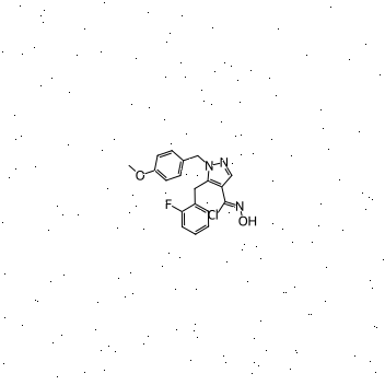 COc1ccc(Cn2ncc(C(Cl)=NO)c2Cc2ccccc2F)cc1